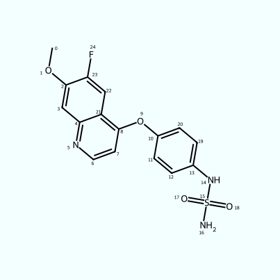 COc1cc2nccc(Oc3ccc(NS(N)(=O)=O)cc3)c2cc1F